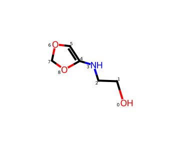 OCCNC1=COCO1